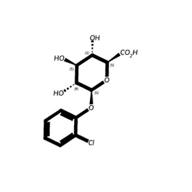 O=C(O)[C@H]1O[C@@H](Oc2ccccc2Cl)[C@H](O)[C@@H](O)[C@@H]1O